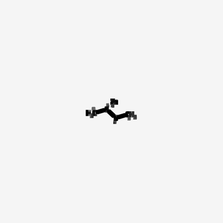 CSSC.[Zn]